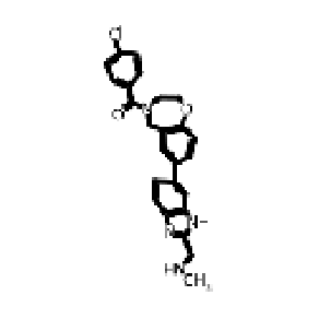 CNCc1nc2ccc(-c3ccc4c(c3)CN(C(=O)c3ccc(Cl)cc3)CCO4)cc2[nH]1